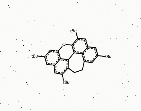 CC(C)(C)c1cc2c3c4c(c(C(C)(C)C)cc3c1)Oc1cc(C(C)(C)C)cc3cc(C(C)(C)C)c(c-4c13)CC2